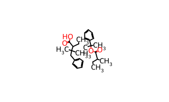 CCC(C(=O)O)C(C)(C)Cc1ccccc1.CCC(C)C(=O)OC(C)(C)c1ccccc1